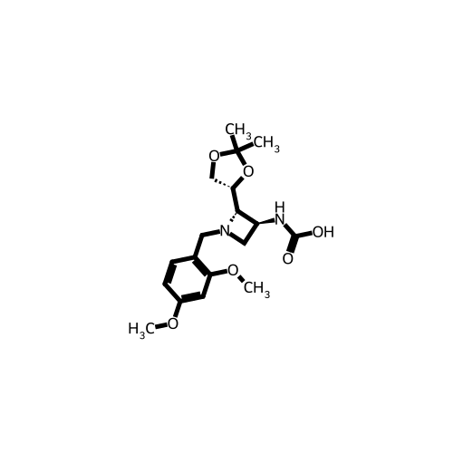 COc1ccc(CN2C[C@H](NC(=O)O)[C@H]2[C@@H]2COC(C)(C)O2)c(OC)c1